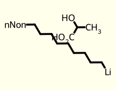 CC(O)C(=O)O.[Li][CH2]CCCCCCCCCCCCCCCCC